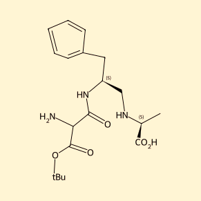 C[C@H](NC[C@H](Cc1ccccc1)NC(=O)C(N)C(=O)OC(C)(C)C)C(=O)O